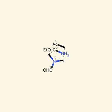 CC(C)=O.CCOC(N)=O.CN(C)C=O